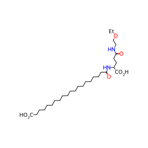 CCOCCNC(=O)CCC(NC(=O)CCCCCCCCCCCCCCCCCCC(=O)O)C(=O)O